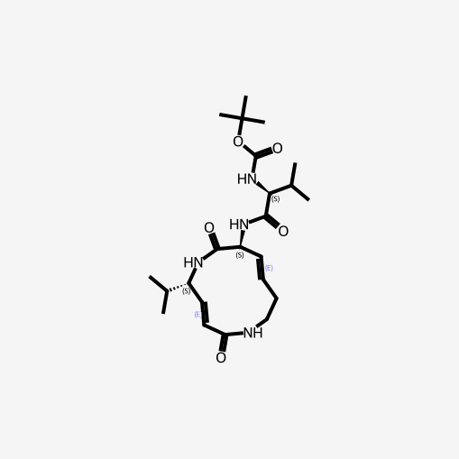 CC(C)[C@H](NC(=O)OC(C)(C)C)C(=O)N[C@H]1/C=C/CCNC(=O)/C=C/[C@H](C(C)C)NC1=O